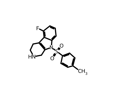 Cc1ccc(S(=O)(=O)n2c3c(c4c(F)cccc42)CCNC3)cc1